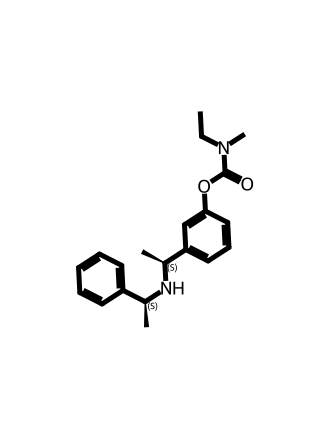 CCN(C)C(=O)Oc1cccc([C@H](C)N[C@@H](C)c2ccccc2)c1